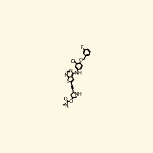 CN(C)C(=O)OC1CNC(C#Cc2cc3c(Nc4ccc(OCc5cccc(F)c5)c(Cl)c4)ncnc3s2)C1